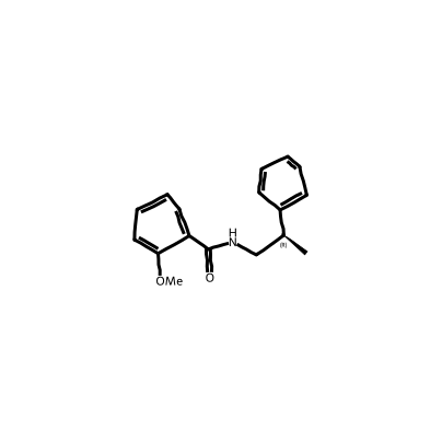 COc1ccccc1C(=O)NC[C@H](C)c1ccccc1